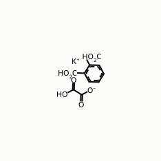 O=C(O)c1ccccc1C(=O)O.O=C([O-])C(=O)O.[K+]